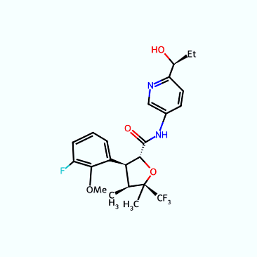 CC[C@H](O)c1ccc(NC(=O)[C@@H]2O[C@@](C)(C(F)(F)F)[C@@H](C)[C@H]2c2cccc(F)c2OC)cn1